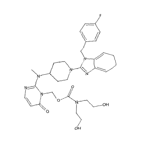 CN(c1nccc(=O)n1COC(=O)N(CCO)CCO)C1CCN(c2nc3c(n2Cc2ccc(F)cc2)=CCCC=3)CC1